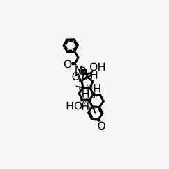 C[C@]12C=CC(=O)C=C1CC[C@@H]1[C@@H]2[C@@H](O)C[C@@]2(C)[C@H]1C[C@H]1CN(C(=O)Cc3ccccc3)O[C@]12C(=O)CO